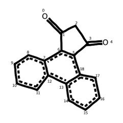 O=C1CC(=O)c2c1c1ccccc1c1ccccc21